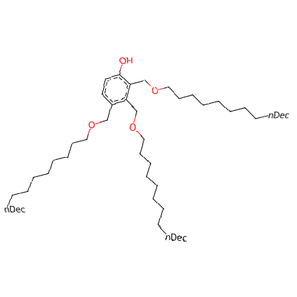 CCCCCCCCCCCCCCCCCCOCc1ccc(O)c(COCCCCCCCCCCCCCCCCCC)c1COCCCCCCCCCCCCCCCCCC